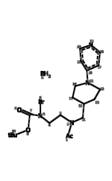 B.CC(=O)N(CCN(Br)C(=O)OC(C)(C)C)CC1CCN(c2ccncc2)CC1